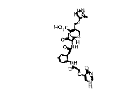 Cn1nnnc1SCC1=C(C(=O)O)N2C(=O)C(NC(=O)Cc3ccccc3NC(=O)COc3c[nH]cnc3=O)[C@H]2SC1